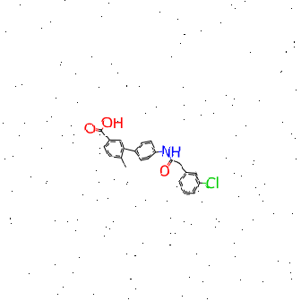 Cc1ccc(C(=O)O)cc1-c1ccc(NC(=O)Cc2cccc(Cl)c2)cc1